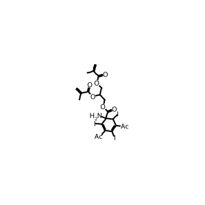 C=C(C)C(=O)OCC(COC(=O)C1(N)C(I)=C(C(C)=O)C(I)=C(C(C)=O)C1I)OC(=O)C(=C)C